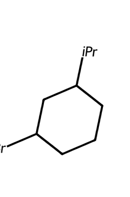 CC(C)C1CCCC(Br)C1